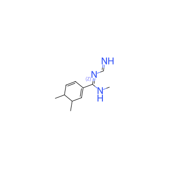 CN/C(=N\C=N)C1=CC(C)C(C)C=C1